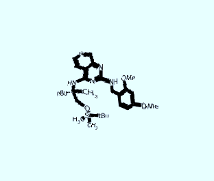 CCCC[C@](C)(CO[Si](C)(C)C(C)(C)C)Nc1nc(NCc2ccc(OC)cc2OC)nc2cnccc12